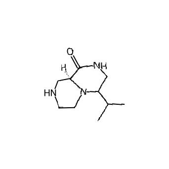 CC(C)C1CNC(=O)[C@@H]2CNCCN12